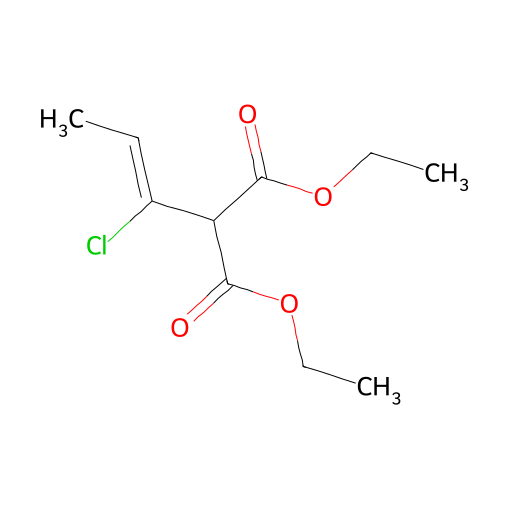 CC=C(Cl)C(C(=O)OCC)C(=O)OCC